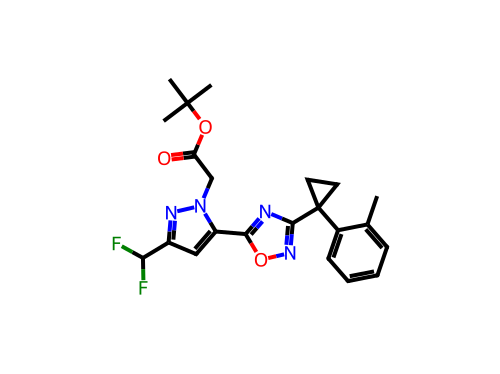 Cc1ccccc1C1(c2noc(-c3cc(C(F)F)nn3CC(=O)OC(C)(C)C)n2)CC1